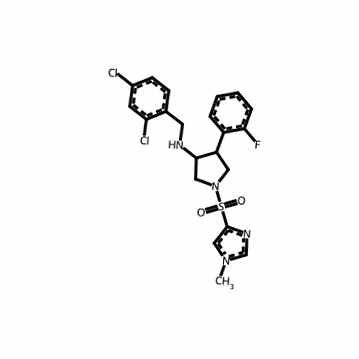 Cn1cnc(S(=O)(=O)N2CC(NCc3ccc(Cl)cc3Cl)C(c3ccccc3F)C2)c1